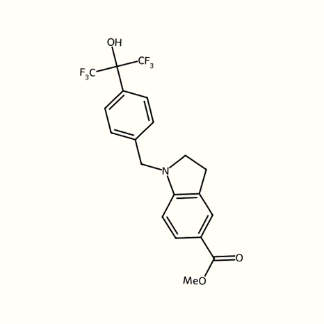 COC(=O)c1ccc2c(c1)CCN2Cc1ccc(C(O)(C(F)(F)F)C(F)(F)F)cc1